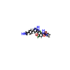 O=C(c1c(F)ccc(NS(=O)(=O)N2CCCC2)c1F)c1c[nH]c2ncc(-c3ccc(C4CNC4)cc3)cc12